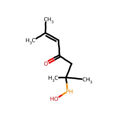 CC(C)=CC(=O)CC(C)(C)PO